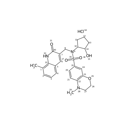 Cc1cccc2cc(CN(C3CCCC3O)S(=O)(=O)c3ccc4c(c3)OCCN4C)c(=O)[nH]c12.Cl